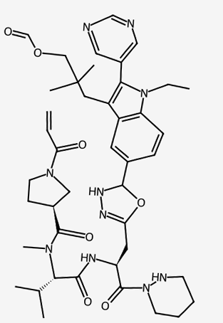 C=CC(=O)N1CC[C@H](C(=O)N(C)[C@H](C(=O)N[C@@H](CC2=NNC(c3ccc4c(c3)c(CC(C)(C)COC=O)c(-c3cncnc3)n4CC)O2)C(=O)N2CCCCN2)C(C)C)C1